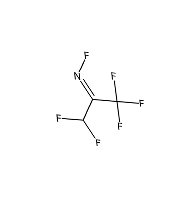 FN=C(C(F)F)C(F)(F)F